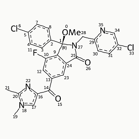 CO[C@]1(c2ccc(Cl)cc2)c2c(F)cc(C(=O)c3cn(C)c(C)n3)cc2C(=O)N1Cc1ccc(Cl)cn1